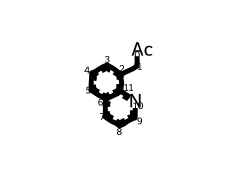 CC(=O)Cc1cccc2cccnc12